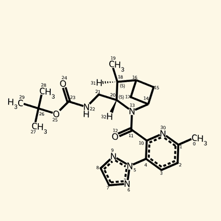 Cc1ccc(-n2nccn2)c(C(=O)N2C3CC(C3)[C@H](C)[C@H]2CNC(=O)OC(C)(C)C)n1